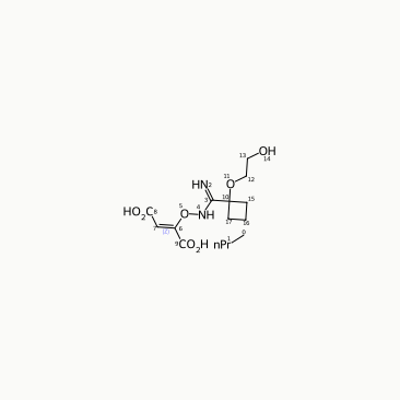 CCCC.N=C(NO/C(=C\C(=O)O)C(=O)O)C1(OCCO)CCC1